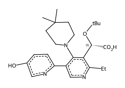 CCc1ncc(-c2ccc(O)cn2)c(N2CCC(C)(C)CC2)c1[C@H](OC(C)(C)C)C(=O)O